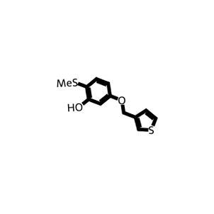 CSc1ccc(OCc2ccsc2)cc1O